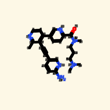 Cc1nccc(-c2ccc(C(=O)N(C)CCCN(C)C)nc2)c1C#Cc1ccc(N)nc1